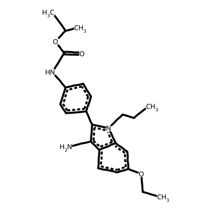 CCCn1c(-c2ccc(NC(=O)OC(C)C)cc2)c(N)c2ccc(OCC)cc21